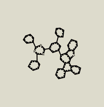 c1ccc(-c2cc(-c3nc(-c4ccccc4)nc(-c4ccccc4)n3)cc(-c3cc4c5ccccc5c5ccccc5c4c4sc5ccccc5c34)c2)cc1